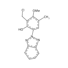 COc1c(C)cc(-n2nc3ccccc3n2)c(O)c1CCl